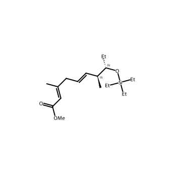 CC[C@H](O[Si](CC)(CC)CC)[C@@H](C)C=CCC(C)=CC(=O)OC